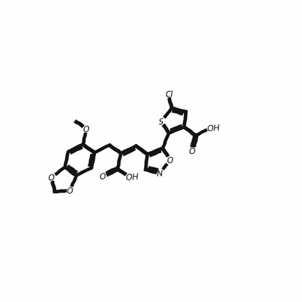 COc1cc2c(cc1CC(=Cc1cnoc1-c1sc(Cl)cc1C(=O)O)C(=O)O)OCO2